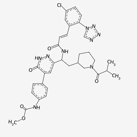 COC(=O)Nc1ccc(-c2cc(C(CC3CCCN(C(=O)C(C)C)C3)NC(=O)/C=C/c3cc(Cl)ccc3-n3cnnn3)n[nH]c2=O)cc1